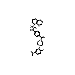 Cc1ccc(C(C)C)cc1N1CCN(C(=O)c2ccc(NS(=O)(=O)c3cccc4c3N=CCC4)cc2)CC1